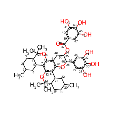 CC1CCC2C(C1)c1c(c3c(c4c1OC(C)(C)C1CCC(C)CC41)O[C@H](c1cc(O)c(O)c(O)c1)[C@H](OC(=O)c1cc(O)c(O)c(O)c1)C3)OC2(C)C